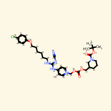 CC(C)(C)OC(=O)N1CCCC(COC(=O)OC[n+]2ccc(NC(=NC#N)NCCCCCCOc3ccc(Cl)cc3)cc2)C1.[I-]